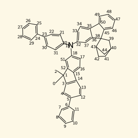 CC1(C)c2cc(-c3ccccc3)ccc2-c2ccc(N(c3ccc(-c4ccccc4)cc3)c3ccc4c(c3)C3(CC5CCC3C5)c3ccccc3-4)cc21